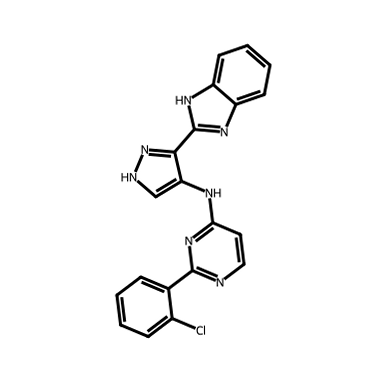 Clc1ccccc1-c1nccc(Nc2c[nH]nc2-c2nc3ccccc3[nH]2)n1